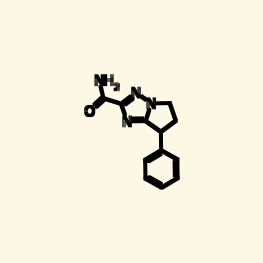 NC(=O)c1nc2n(n1)CCC2c1ccccc1